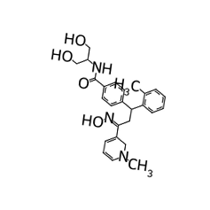 Cc1ccccc1C(CC(=NO)C1=CC=CN(C)C1)c1ccc(C(=O)NC(CO)CO)cc1